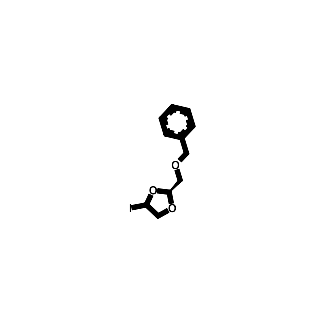 IC1CO[C@H](COCc2ccccc2)O1